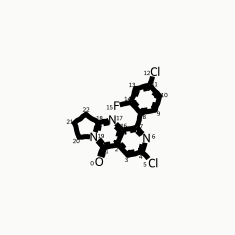 O=c1c2cc(Cl)nc(-c3ccc(Cl)cc3F)c2nc2n1CCC2